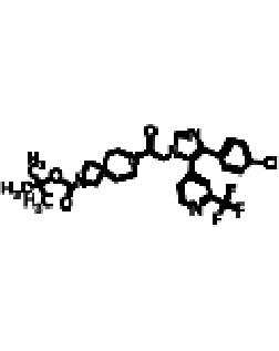 CC(C)(C)OC(=O)N1CC2(CCN(C(=O)Cn3cnc(-c4ccc(Cl)cc4)c3-c3ccnc(C(F)(F)F)c3)CC2)C1